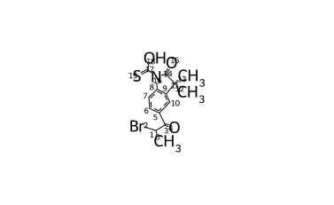 CC(Br)C(=O)c1ccc2c(c1)C(C)(C)C(=O)N2C(O)=S